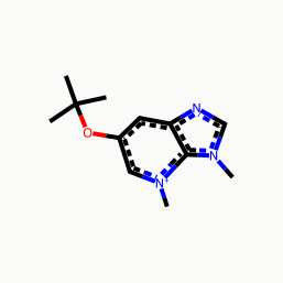 Cn1cnc2cc(OC(C)(C)C)c[n+](C)c21